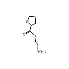 CCCCCCCOC(=O)C1CCCO1